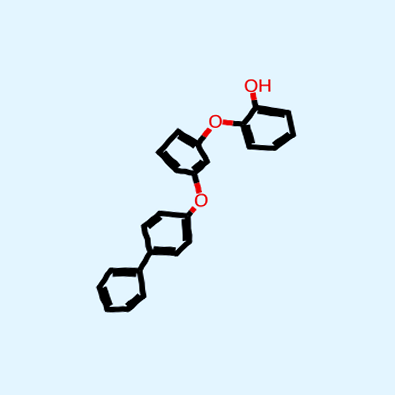 Oc1ccccc1Oc1cccc(Oc2ccc(-c3ccccc3)cc2)c1